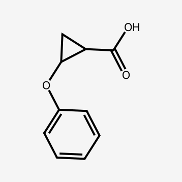 O=C(O)C1CC1Oc1ccccc1